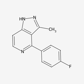 Cc1n[nH]c2ccnc(-c3ccc(F)cc3)c12